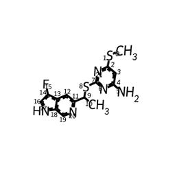 CSc1cc(N)nc(SC(C)c2cc3c(F)c[nH]c3cn2)n1